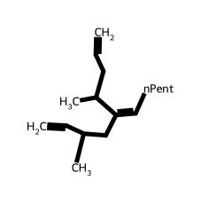 C=CCC(C)C(=CCCCCC)CC(C)C=C